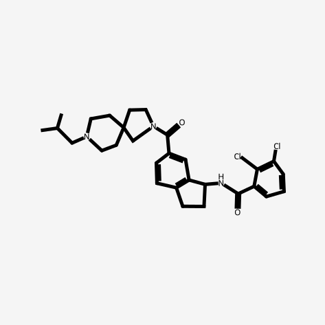 CC(C)CN1CCC2(CC1)CCN(C(=O)c1ccc3c(c1)C(NC(=O)c1cccc(Cl)c1Cl)CC3)C2